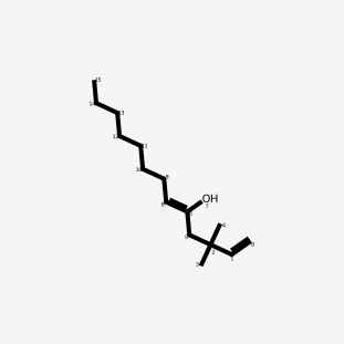 C=CC(C)(C)CC(O)=CCCCCCCC